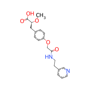 CO[C@@H](Cc1ccc(OCC(=O)NCCc2cccnc2)cc1)C(=O)O